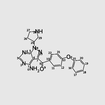 Nc1ncnc2c1c(C(=O)c1ccc(Oc3ccccc3)cc1)nn2C1CCNC1